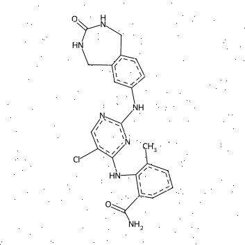 Cc1cccc(C(N)=O)c1Nc1nc(Nc2ccc3c(c2)CNC(=O)NC3)ncc1Cl